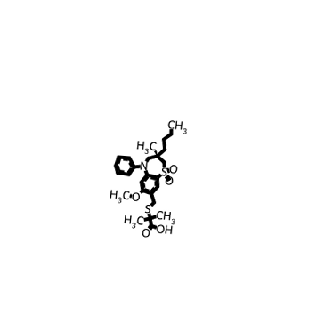 CCCC[C@@]1(C)CN(c2ccccc2)c2cc(OC)c(CSC(C)(C)C(=O)O)cc2S(=O)(=O)C1